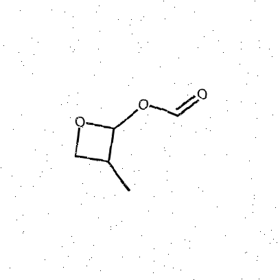 CC1COC1OC=O